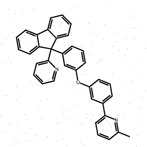 Cc1cccc(-c2cccc(Oc3cccc(C4(c5ccccn5)c5ccccc5-c5ccccc54)c3)c2)n1